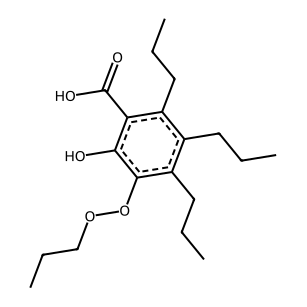 CCCOOc1c(O)c(C(=O)O)c(CCC)c(CCC)c1CCC